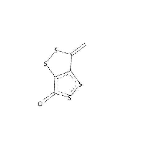 C=C1SSc2c1ssc2=O